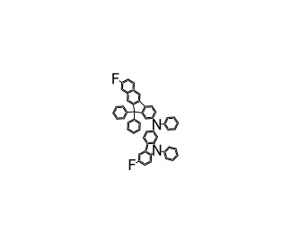 Fc1ccc2cc3c(cc2c1)C(c1ccccc1)(c1ccccc1)c1cc(N(c2ccccc2)c2ccc4c5cc(F)ccc5n(-c5ccccc5)c4c2)ccc1-3